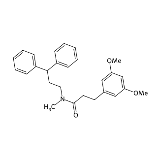 COc1cc(CCC(=O)N(C)CCC(c2ccccc2)c2ccccc2)cc(OC)c1